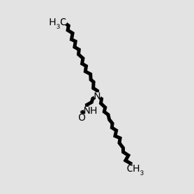 CCCCCCCCCCCCCCCCCCN(CCCCCCCCCCCCCCCCCC)CCCNC=O